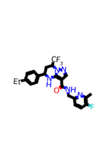 CCc1ccc(C2CC(C(F)(F)F)n3ncc(C(=O)NCc4ccc(F)c(C)n4)c3N2)cc1